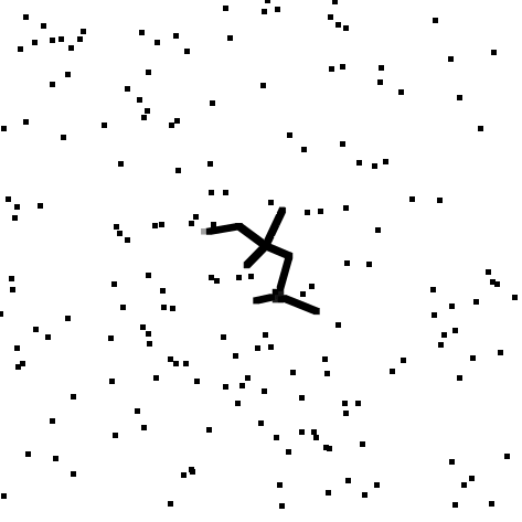 [CH2]CC(C)(C)CN(C)C